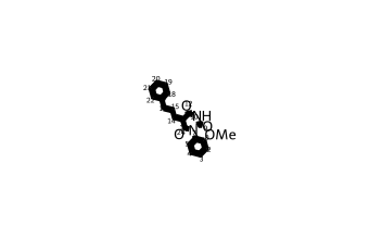 COc1ccccc1N1C(=O)NC(=O)/C(=C\C=C\c2ccccc2)C1=O